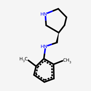 Cc1cccc(C)c1NC[C@@H]1CCCNC1